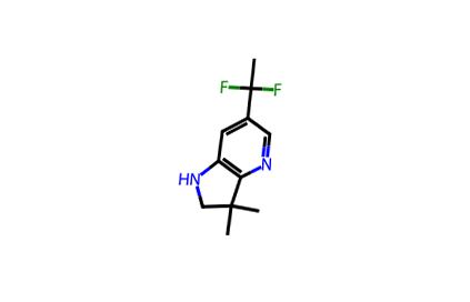 CC(F)(F)c1cnc2c(c1)NCC2(C)C